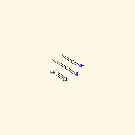 C#C.N=C=S.N=C=S